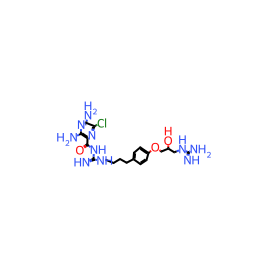 N=C(N)NCC(O)COc1ccc(CCCCNC(=N)NC(=O)c2nc(Cl)c(N)nc2N)cc1